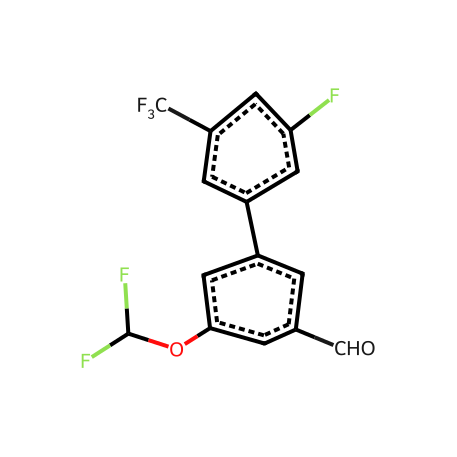 O=Cc1cc(OC(F)F)cc(-c2cc(F)cc(C(F)(F)F)c2)c1